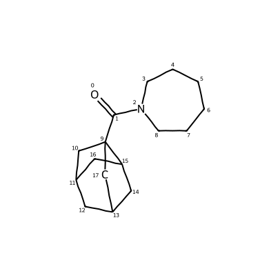 O=C(N1CCCCCC1)C12CC3CC(CC1C3)C2